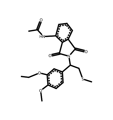 CCOc1cc(C(CSC)N2C(=O)c3cccc(NC(C)=O)c3C2=O)ccc1OC